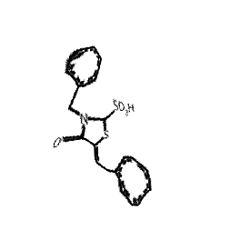 O=C1C(=Cc2ccccc2)SC(S(=O)(=O)O)N1Cc1ccccc1